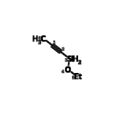 CC#C[SiH2]OCC